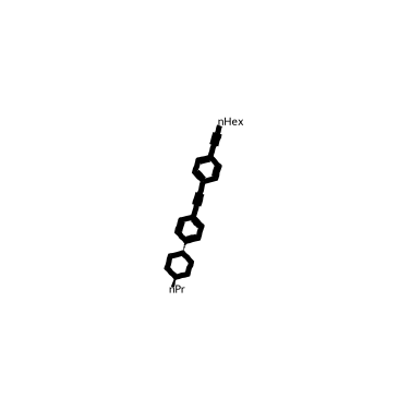 CCCCCCC#Cc1ccc(C#Cc2ccc([C@H]3CC[C@H](CCC)CC3)cc2)cc1